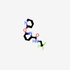 O=C(NCC(F)(F)F)c1cccc(Oc2ccccn2)n1